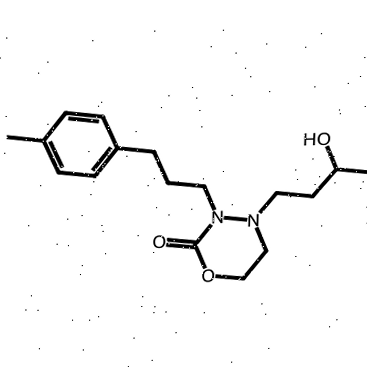 Cc1ccc(CCCN2C(=O)OCCN2CCC(C)O)cc1